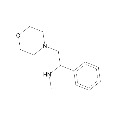 CNC(CN1CCOCC1)c1ccccc1